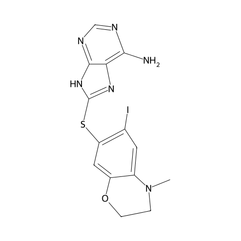 CN1CCOc2cc(Sc3nc4c(N)ncnc4[nH]3)c(I)cc21